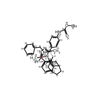 Cc1nnc(C(C)C)n1C1CC2CCC(C1)N2C(=O)C[C@@H](c1ccc(NC(=O)OC(C)(C)C)cc1)N(Cc1ccccc1)[C@H](C)c1ccccc1